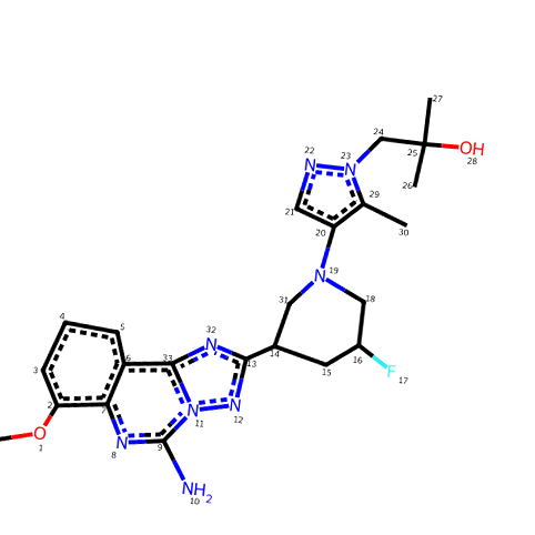 COc1cccc2c1nc(N)n1nc(C3CC(F)CN(c4cnn(CC(C)(C)O)c4C)C3)nc21